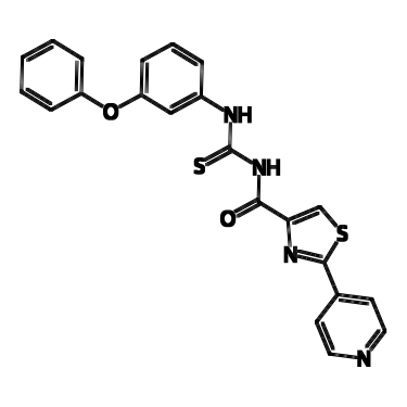 O=C(NC(=S)Nc1cccc(Oc2ccccc2)c1)c1csc(-c2ccncc2)n1